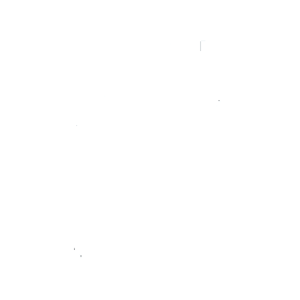 CCOC(=O)C(C(C)=O)C(C(=O)CC)c1cccc(C#N)c1